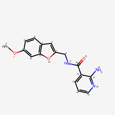 CCCOc1ccc2cc(CNC(=O)c3cccnc3N)oc2c1